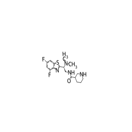 CN(C)[C@@H](CNC(=O)C1CCCNC1)c1nc2c(F)cc(F)cc2s1